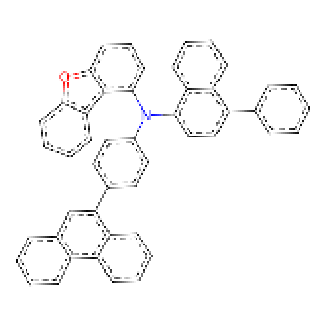 c1ccc(-c2ccc(N(c3ccc(-c4cc5ccccc5c5ccccc45)cc3)c3cccc4oc5ccccc5c34)c3ccccc23)cc1